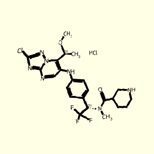 CO[C@@H](C)c1c(Nc2ccc([C@H](N(C)C(=O)C3CCCNC3)C(F)(F)F)cc2)cnc2nc(Cl)nn12.Cl